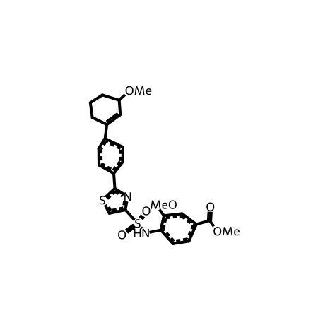 COC(=O)c1ccc(NS(=O)(=O)c2csc(-c3ccc(C4=CC(OC)CCC4)cc3)n2)c(OC)c1